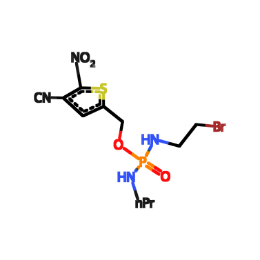 [C-]#[N+]c1cc(COP(=O)(NCCC)NCCBr)sc1[N+](=O)[O-]